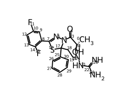 C[C@H](O)C(=O)N1N=C(c2cc(F)ccc2F)SC1(CCNNC(=N)N)c1ccccc1